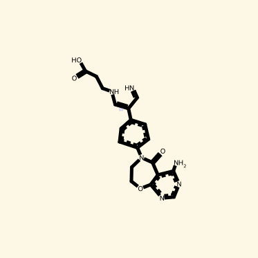 N=C/C(=C\NCCC(=O)O)c1ccc(N2CCOc3ncnc(N)c3C2=O)cc1